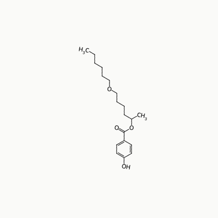 CCCCCCOCCCCC(C)OC(=O)c1ccc(O)cc1